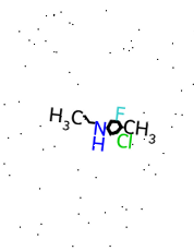 CCCCNc1cc(F)c(C)c(Cl)c1